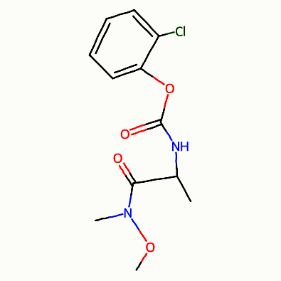 CON(C)C(=O)C(C)NC(=O)Oc1ccccc1Cl